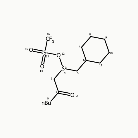 CCCCC(=O)C[S+](CC1CCCCC1)OS(=O)(=O)C(F)(F)F